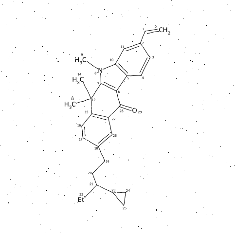 C=Cc1ccc2c3c(n(C)c2c1)C(C)(C)c1ccc(CCC(CC)C2CC2)cc1C3=O